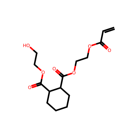 C=CC(=O)OCCOC(=O)C1CCCCC1C(=O)OCCO